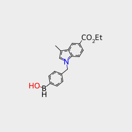 CCOC(=O)c1ccc2c(c1)c(C)cn2Cc1ccc(BO)cc1